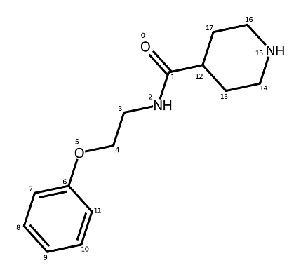 O=C(NCCOc1ccccc1)C1CCNCC1